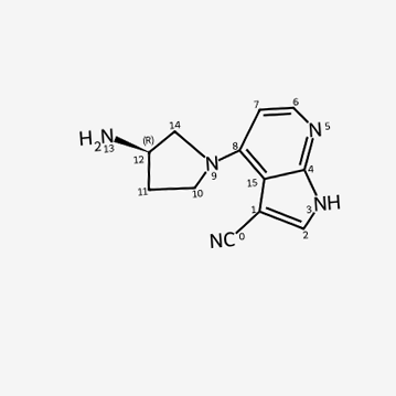 N#Cc1c[nH]c2nccc(N3CC[C@@H](N)C3)c12